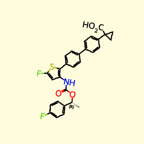 C[C@@H](OC(=O)Nc1cc(F)sc1-c1ccc(-c2ccc(C3(C(=O)O)CC3)cc2)cc1)c1ccc(F)cc1